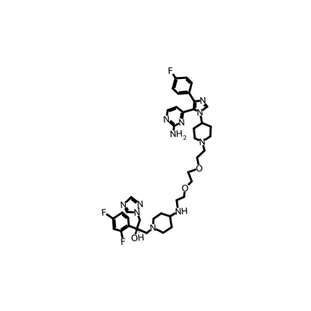 Nc1nccc(-c2c(-c3ccc(F)cc3)ncn2C2CCN(CCOCCOCCNC3CCN(C[C@@](O)(Cn4cncn4)c4ccc(F)cc4F)CC3)CC2)n1